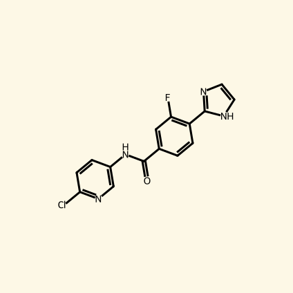 O=C(Nc1ccc(Cl)nc1)c1ccc(-c2ncc[nH]2)c(F)c1